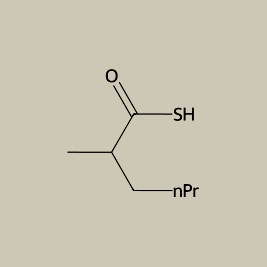 CCCCC(C)C(=O)S